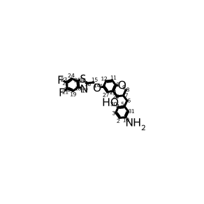 Nc1cccc(CC2COc3ccc(OCc4nc5cc(F)c(F)cc5s4)cc3C2O)c1